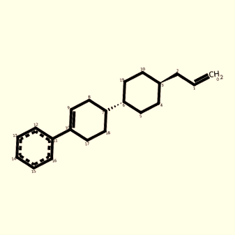 C=CC[C@H]1CC[C@H](C2CC=C(c3ccccc3)CC2)CC1